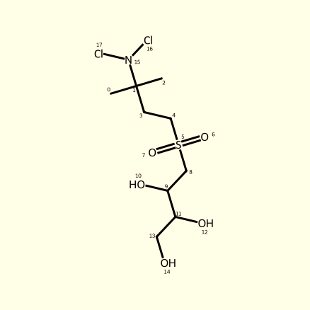 CC(C)(CCS(=O)(=O)CC(O)C(O)CO)N(Cl)Cl